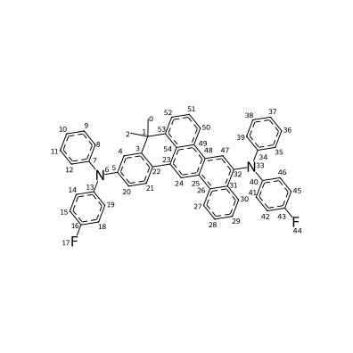 CC1(C)c2cc(N(c3ccccc3)c3ccc(F)cc3)ccc2-c2cc3c4ccccc4c(N(c4ccccc4)c4ccc(F)cc4)cc3c3cccc1c23